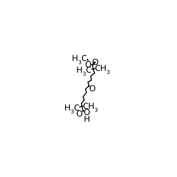 CCOC(=O)C(C)(C)CCCCC(=O)CCCCCC(C)(C)C(=O)O